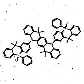 CC1(C)c2ccccc2N(c2ccc3c(c2)C(C)(C)c2ccccc2P3(=O)c2ccccc2)c2cc3c(cc21)N(c1ccc2c(c1)C(C)(C)c1ccccc1P2(=O)c1ccccc1)c1ccccc1C3(C)C